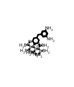 BB(B)B(B(B)B)B(B(B)B)B(B(B(B)B)B(B)B)C1CCC(Cc2cc(N)cc(N)c2)CC1